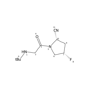 CC(C)(C)NCC(=O)N1C[C@@H](F)C[C@H]1C#N